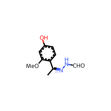 COc1cc(O)ccc1/C(C)=N\NC=O